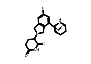 O=C1CCC(N2Cc3cc(F)cc(N4CC5CCC4CN5)c3C2)C(=O)N1